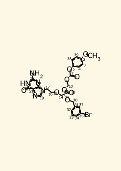 COc1ccc(OC(=O)OCOP(=O)(COCCn2cnc3c(=O)[nH]c(N)nc32)OCc2cccc(Br)c2)cc1